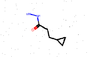 [NH]NC(=O)CCC1CC1